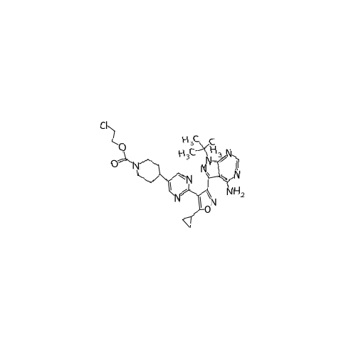 CC(C)(C)n1nc(-c2noc(C3CC3)c2-c2ncc(C3CCN(C(=O)OCCCl)CC3)cn2)c2c(N)ncnc21